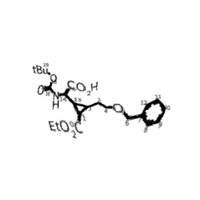 CCOC(=O)C1C(CCOCc2ccccc2)C1C(NC(=O)OC(C)(C)C)C(=O)O